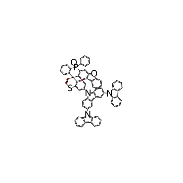 O=P1(c2ccccc2)c2ccccc2C2(c3ccccc3Sc3cc(-n4c5ccc(-n6c7ccccc7c7ccccc76)cc5c5cc(-n6c7ccccc7c7ccccc76)ccc54)ccc32)c2cc3c(cc21)oc1ccccc13